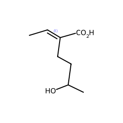 C/C=C(\CCC(C)O)C(=O)O